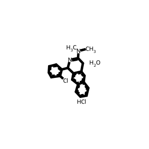 CN(C)C1=NC(c2ccccc2Cl)c2cc3ccccc3cc2C1.Cl.O